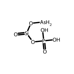 O=[Si](O[AsH2])OP(=O)(O)O